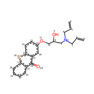 C=CCN(CC=C)CC(O)COc1ccc2sc3ccccc3c(=O)c2c1